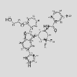 O=C(N[C@@H]1C[C@H](n2c(-c3ccccc3OCCO)nc3ccc(-c4nc[nH]n4)cc32)CC(F)(F)C1)c1cc(F)ccn1